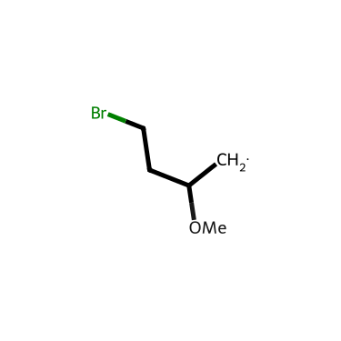 [CH2]C(CCBr)OC